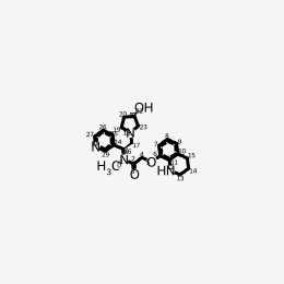 CN(C(=O)COc1cccc2c1NCCC2)[C@H](CN1CC[C@H](O)C1)c1cccnc1